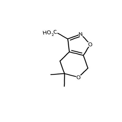 CC1(C)Cc2c(C(=O)O)noc2CO1